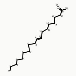 CCCCCCCCC/C=C/CCCCCCC(C)=O